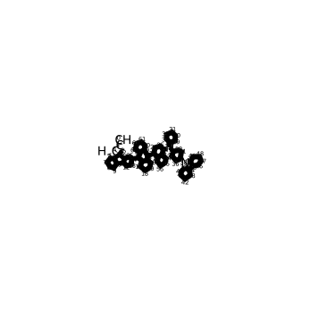 C=C=C[C@]1(C)c2ccccc2-c2ccc(-c3c4ccccc4c(-c4ccc(N(c5ccccc5)c5ccc(-n6c7ccccc7c7ccccc76)cc5)c5ccccc45)c4ccccc34)cc21